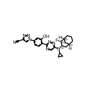 N#Cc1cn(-c2ccc(-c3ncc(N(C4CC4)[C@@H]4C[C@H]5CCC[C@H](C5)[C@@H]4F)nn3)c(O)c2)nn1